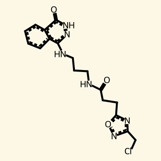 O=C(CCc1nc(CCl)no1)NCCCNc1n[nH]c(=O)c2ccccc12